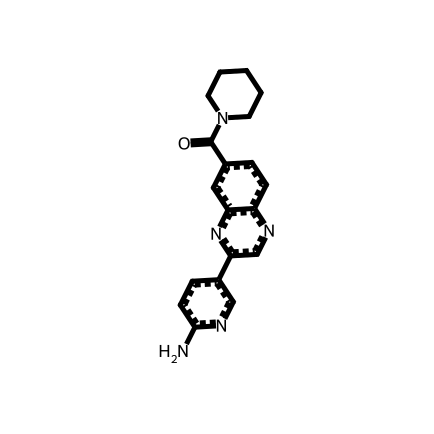 Nc1ccc(-c2cnc3ccc(C(=O)N4CCCCC4)cc3n2)cn1